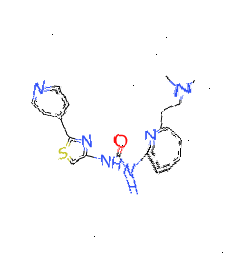 CN(C)CCc1cccc(NC(=O)Nc2csc(-c3ccncc3)n2)n1